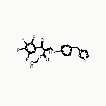 CCOC(=O)C(=CNc1ccc(Cn2ccnn2)cc1)C(=O)c1cc(F)c(F)c(F)c1F